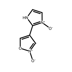 [O-][n+]1[c]c(-c2[nH]cc[n+]2[O-])co1